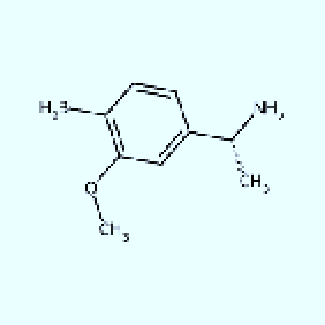 Bc1ccc([C@@H](C)N)cc1OC